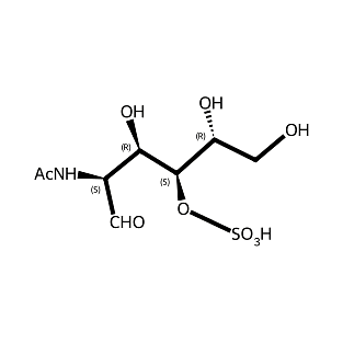 CC(=O)N[C@H](C=O)[C@@H](O)[C@H](OS(=O)(=O)O)[C@H](O)CO